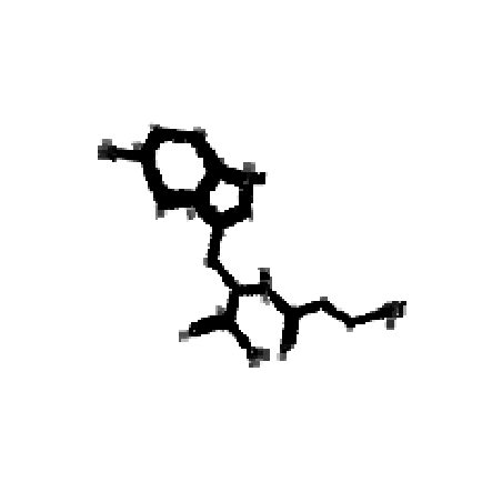 O=C(CCS)NC(Cc1c[nH]c2ccc(O)cc12)C(=O)O